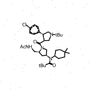 CC(=O)NC[C@@H]1C[C@H](N(C(=O)C(C)(C)C)C2CCC(C)(C)CC2)CN1C(=O)C1CN(C(C)(C)C)C[C@@H]1c1ccc(Cl)cc1